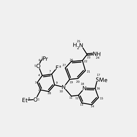 CCOc1cc(OC(C)C)c(F)c(N(Cc2cccc(SC)n2)c2ccc(C(=N)N)cc2)c1